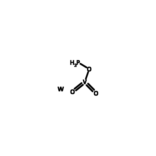 [O]=[V](=[O])[O]P.[W]